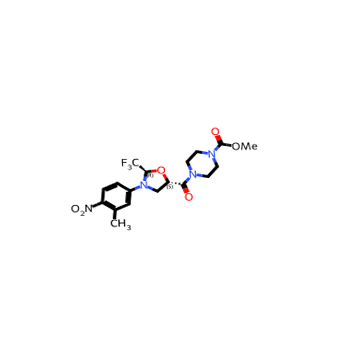 COC(=O)N1CCN(C(=O)[C@@H]2CN(c3ccc([N+](=O)[O-])c(C)c3)[C@@H](C(F)(F)F)O2)CC1